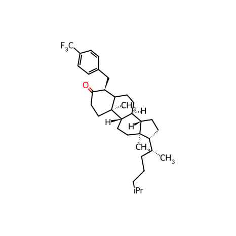 CC(C)CCC[C@@H](C)[C@H]1CC[C@H]2[C@@H]3CCC4[C@H](Cc5ccc(C(F)(F)F)cc5)C(=O)CC[C@]4(C)[C@H]3CC[C@]12C